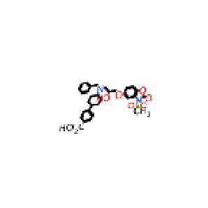 CS(=O)(=O)n1c(=O)oc2ccc(OC[C@@H](O)CN(Cc3ccccc3)C3CCC(c4ccc(C(=O)O)cc4)CC3)cc21